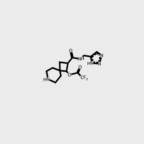 O=C(NCc1cnn[nH]1)C1CC2(CCNCC2)C1OC(=O)C(F)(F)F